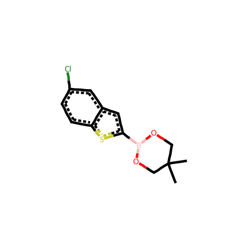 CC1(C)COB(c2cc3cc(Cl)ccc3s2)OC1